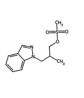 CC(COS(C)(=O)=O)Cn1ncc2ccccc21